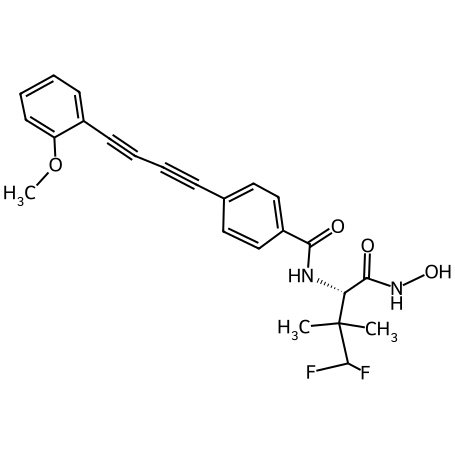 COc1ccccc1C#CC#Cc1ccc(C(=O)N[C@H](C(=O)NO)C(C)(C)C(F)F)cc1